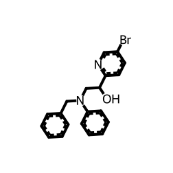 OC(CN(Cc1ccccc1)c1ccccc1)c1ccc(Br)cn1